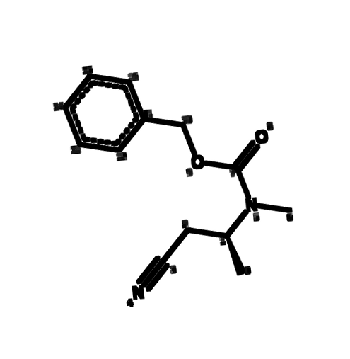 C[C@@H](CC#N)N(C)C(=O)OCc1ccccc1